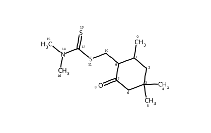 CC1CC(C)(C)CC(=O)C1CSC(=S)N(C)C